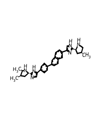 C[C@H]1CN[C@H](c2nc(-c3ccc4cc(-c5ccc(-c6cnc([C@@H]7C[C@@H](C)[C@@H](C)N7)[nH]6)cc5)ccc4c3)c[nH]2)C1